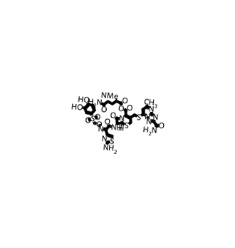 CN[C@H](CCC(N)=O)C(=O)OC(=O)C1=C(CSc2cc(C)nc3nc(C(N)=O)nn23)CS[C@H]2[C@@H](NC(=O)/C(=N\OCS(=O)(=O)c3ccc(O)c(O)c3)c3csc(N)n3)C(=O)N12